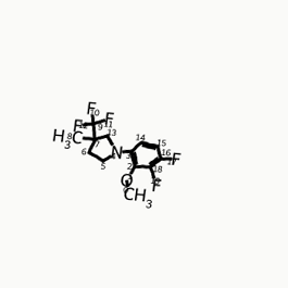 COc1c(N2CCC(C)(C(F)(F)F)C2)ccc(F)c1F